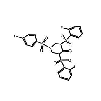 O=C1C(S(=O)(=O)c2ccccc2F)CN(S(=O)(=O)c2ccc(F)cc2)CC1S(=O)(=O)c1ccccc1F